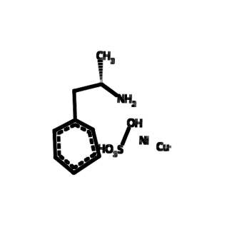 C[C@H](N)Cc1ccccc1.O=S(=O)(O)O.[Cu].[Ni]